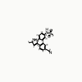 Cc1cc(-c2ccc(C#N)cc2)n(-c2ccc(NS(C)(=O)=O)cc2)n1